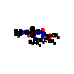 CCO[Si](CCCNC(=O)N1CCN(C(=O)c2ccccc2-c2c3ccc(=[N+](CC)CC)cc-3oc3cc(N(CC)CC)ccc23)CC1)(OCC)OCC